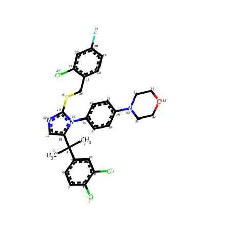 CC(C)(c1ccc(Cl)c(Cl)c1)c1cnc(SCc2ccc(F)cc2Cl)n1-c1ccc(N2CCOCC2)cc1